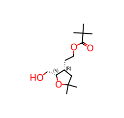 CC1(C)C[C@@H](CCOC(=O)C(C)(C)C)[C@@H](CO)O1